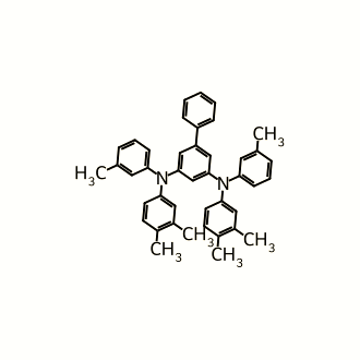 Cc1cccc(N(c2cc(-c3ccccc3)cc(N(c3cccc(C)c3)c3ccc(C)c(C)c3)c2)c2ccc(C)c(C)c2)c1